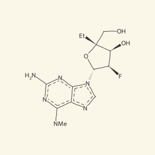 CC[C@]1(CO)O[C@@H](n2cnc3c(NC)nc(N)nc32)[C@H](F)[C@@H]1O